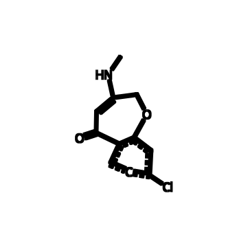 CNC1=CC(=O)c2ccc(Cl)cc2OC1